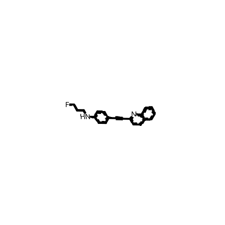 FCCCNc1ccc(C#Cc2ccc3ccccc3n2)cc1